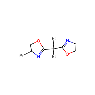 CCC(CC)(C1=NCCO1)C1=NC(C(C)C)CO1